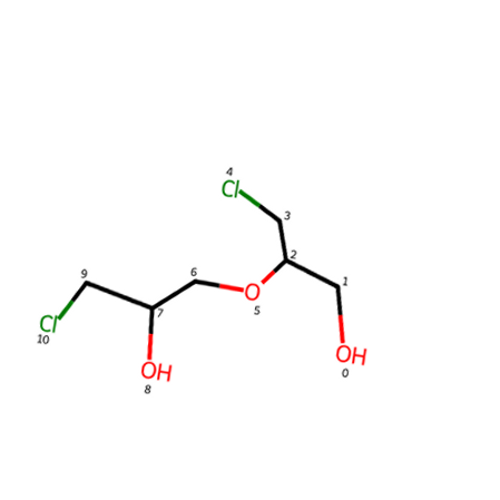 OCC(CCl)OCC(O)CCl